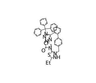 CCC1NN(Cc2ccc(-c3ccccc3-c3nnnn3C(c3ccccc3)(c3ccccc3)c3ccccc3)cc2)C(=NC(=O)C(F)(F)F)S1